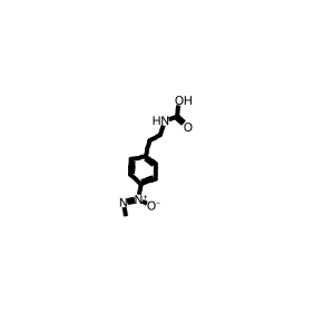 CN=[N+]([O-])c1ccc(CCNC(=O)O)cc1